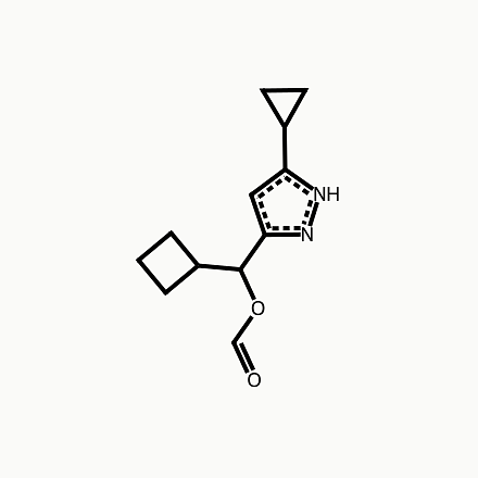 O=COC(c1cc(C2CC2)[nH]n1)C1CCC1